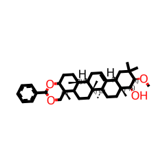 CO[C@H]1[C@@H](O)[C@]2(C)CC[C@]3(C)C(=CC[C@@H]4[C@@]5(C)CCC6OC(c7ccccc7)OC[C@@]6(C)C5CC[C@]43C)[C@H]2CC1(C)C